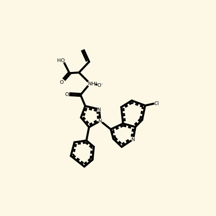 C=CC(C(=O)O)[NH+]([O-])C(=O)c1cc(-c2ccccc2)n(-c2ccnc3cc(Cl)ccc23)n1